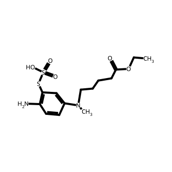 CCOC(=O)CCCCN(C)c1ccc(N)c(SS(=O)(=O)O)c1